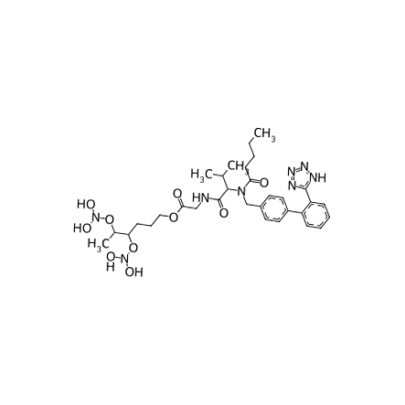 CCCCC(=O)N(Cc1ccc(-c2ccccc2-c2nnn[nH]2)cc1)C(C(=O)NCC(=O)OCCCC(ON(O)O)C(C)ON(O)O)C(C)C